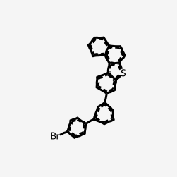 Brc1ccc(-c2cccc(-c3ccc4c(c3)sc3ccc5ccccc5c34)c2)cc1